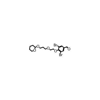 O=Cc1cc(Br)c(OCCOCCCOC2CCCCO2)c(Br)c1